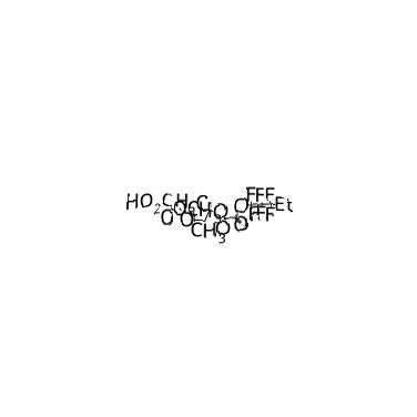 CCC(F)(F)C(F)(F)C(F)(F)OC(=O)C(=O)OC(C)CC(C)(C)OOC(=O)C(=O)O